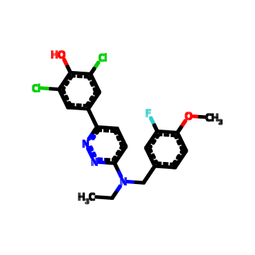 CCN(Cc1ccc(OC)c(F)c1)c1ccc(-c2cc(Cl)c(O)c(Cl)c2)nn1